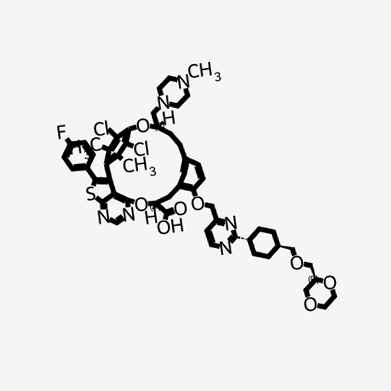 Cc1c(Cl)c2c(Cl)c(C)c1-c1c(-c3ccc(F)cc3)sc3ncnc(c13)O[C@@H](C(=O)O)Cc1cc(ccc1OCc1ccnc([C@H]3CC[C@H](COC[C@@H]4COCCO4)CC3)n1)CC[C@@H](CN1CCN(C)CC1)O2